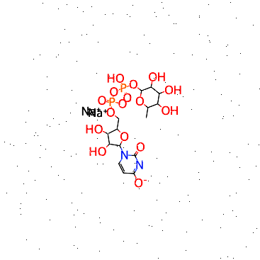 CC1OC(OP(=O)(O)OP(=O)([O-])OCC2OC(n3ccc([O-])nc3=O)C(O)C2O)C(O)C(O)C1O.[Na+].[Na+]